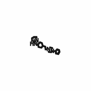 c1ccc(N2CCN(CCC3CCC(Nc4ncccn4)CC3)CC2)cc1